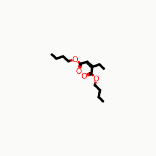 CCCCOC(=O)/C=C(/CC)C(=O)OCCCC